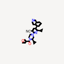 N#Cc1cc(-c2cccc3cnccc23)c(C2CC2)nc1N1CCN(C(=O)c2ccoc2)C(C2CC2)C1